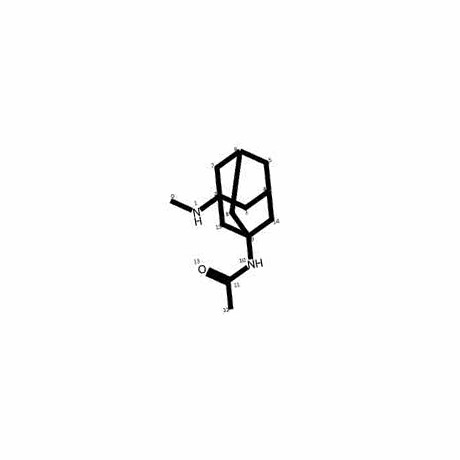 CNC12CC3CC(C1)CC(NC(C)=O)(C3)C2